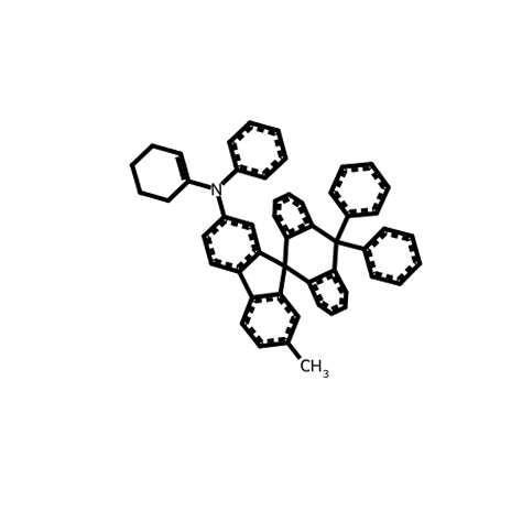 Cc1ccc2c(c1)C1(c3cc(N(C4=CCCCC4)c4ccccc4)ccc3-2)c2ccccc2C(c2ccccc2)(c2ccccc2)c2ccccc21